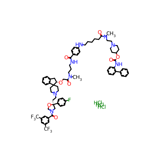 CN(CCN1CCC(OC(=O)Nc2ccccc2-c2ccccc2)CC1)C(=O)CCCCCNc1ccc(C(=O)NCCCN(C)C(=O)CO[C@H]2Cc3ccccc3C23CCN(CC[C@]2(c4ccc(F)cc4)CN(C(=O)c4cc(C(F)(F)F)cc(C(F)(F)F)c4)CO2)CC3)cc1.Cl.Cl.Cl